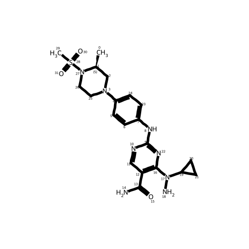 C[C@H]1CN(c2ccc(Nc3ncc(C(N)=O)c(N(N)C4CC4)n3)cc2)CCN1S(C)(=O)=O